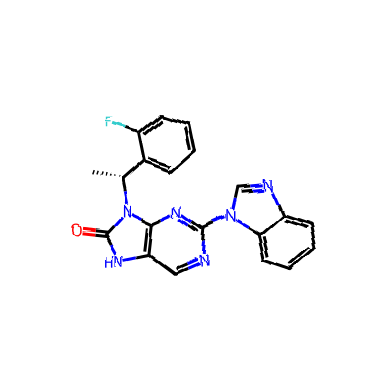 C[C@H](c1ccccc1F)n1c(=O)[nH]c2cnc(-n3cnc4ccccc43)nc21